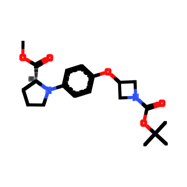 COC(=O)[C@H]1CCCN1c1ccc(OC2CN(C(=O)OC(C)(C)C)C2)cc1